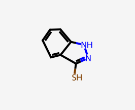 Sc1n[nH]c2ccccc12